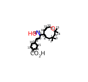 CC1(C)C/C=C(C(/C=C/c2ccc(C(=O)O)cc2)=N/O)\C=C/COC(C)(C)C1